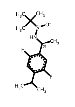 CC(C)c1cc(F)c([C@H](C)N[S+]([O-])C(C)(C)C)cc1F